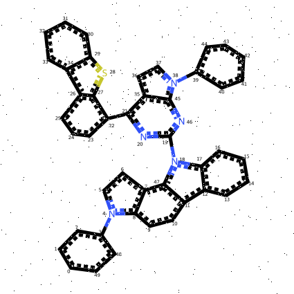 c1ccc(-n2ccc3c2ccc2c4ccccc4n(-c4nc(-c5cccc6c5sc5ccccc56)c5ccn(-c6ccccc6)c5n4)c23)cc1